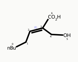 CCCCC/C=C(\CO)C(=O)O